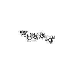 Nc1c(-c2cc(Cc3ccc(OCc4ccnc(Cl)c4)nc3)no2)ccc[n+]1COP(=O)([O-])O